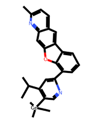 Cc1ccc2cc3c(cc2n1)oc1c(-c2cc(C(C)C)[c]([Ge]([CH3])([CH3])[CH3])cn2)cccc13